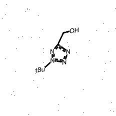 CC(C)(C)n1nnc(CO)n1